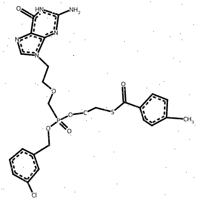 Cc1ccc(C(=O)SCCOP(=O)(COCCn2cnc3c(=O)[nH]c(N)nc32)OCc2cccc(Cl)c2)cc1